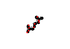 c1ccc(-c2cc(-c3cccc(-c4ccc5c(c4)sc4ccc(-c6cccc(-c7cc(-c8ccccc8)nc(-c8ccccc8)n7)c6)cc45)c3)nc(-c3ccccc3)n2)cc1